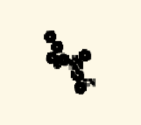 N#Cc1ccccc1-c1ccc(-c2nc(-c3ccccc3)nc(-c3ccc4c(c3)oc3cccc(-c5cccc(-c6ccccc6)c5)c34)n2)nc1